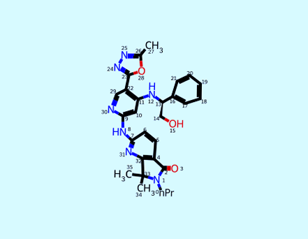 CCCN1C(=O)c2ccc(Nc3cc(N[C@H](CO)c4ccccc4)c(-c4nnc(C)o4)cn3)nc2C1(C)C